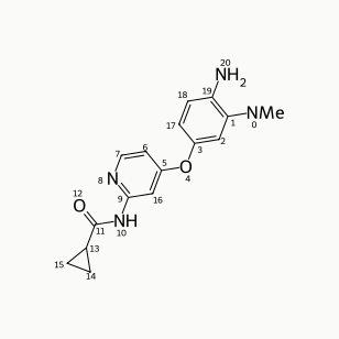 CNc1cc(Oc2ccnc(NC(=O)C3CC3)c2)ccc1N